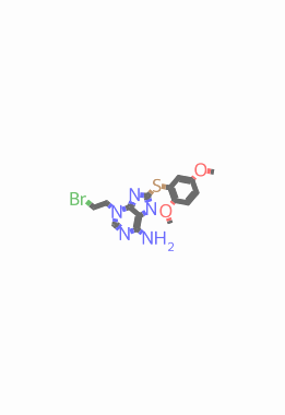 COc1ccc(OC)c(Sc2nc3c(N)ncn(CCBr)c-3n2)c1